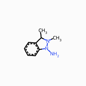 CC1c2ccccc2N(N)N1C